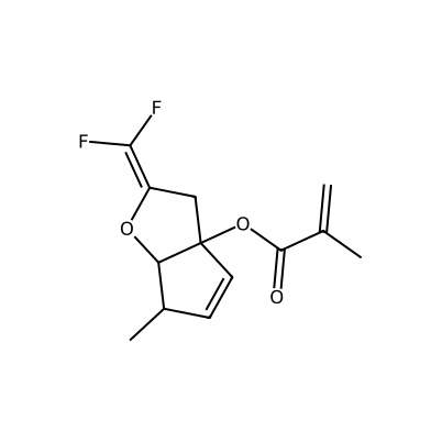 C=C(C)C(=O)OC12C=CC(C)C1OC(=C(F)F)C2